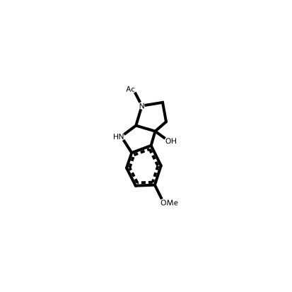 COc1ccc2c(c1)C1(O)CCN(C(C)=O)C1N2